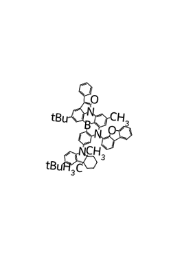 Cc1cc2c3c(c1)-n1c4oc5ccccc5c4c4cc(C(C)(C)C)cc(c41)B3c1ccc(N3c4ccc(C(C)(C)C)cc4C4(C)CCCCC34C)cc1N2c1cccc2c1oc1ccccc12